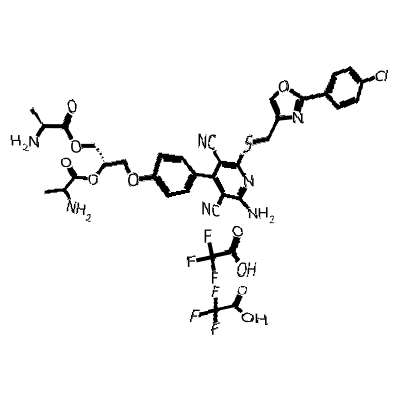 CC(N)C(=O)O[C@H](COC(=O)[C@H](C)N)COc1ccc(-c2c(C#N)c(N)nc(SCc3coc(-c4ccc(Cl)cc4)n3)c2C#N)cc1.O=C(O)C(F)(F)F.O=C(O)C(F)(F)F